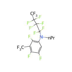 CCCN(c1cc(F)c(F)c(C(F)(F)F)c1F)C(F)(F)C(F)(F)C(F)(F)C(F)(F)F